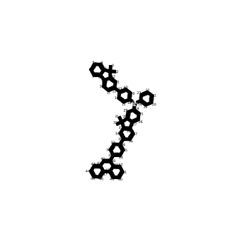 CC1(C)c2ccccc2-c2ccc(-c3ccc(N(c4ccccc4)c4ccc5c(c4)C(C)(C)c4cc(-c6ccc(-c7cc8ccccc8c8ccccc78)cc6)ccc4-5)cc3)cc21